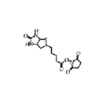 O=C1NC2CC(CCCCC(=O)ON3C(=O)CCC3=O)SC2N1